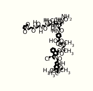 COc1cc2cc(C(=O)N3C[C@@H](CCl)c4c3cc(OC(=O)N(C)CCN(C)C(=O)OC(C(=O)O)c3ccc(NC(=O)[C@H](CCCNC(N)=O)NC(=O)[C@@H](NC(=O)CNC(=O)CNC(=O)CNC(=O)CCN5C(=O)C=CC5=O)C(C)C)cc3)c3ccccc43)[nH]c2c(OC)c1OC